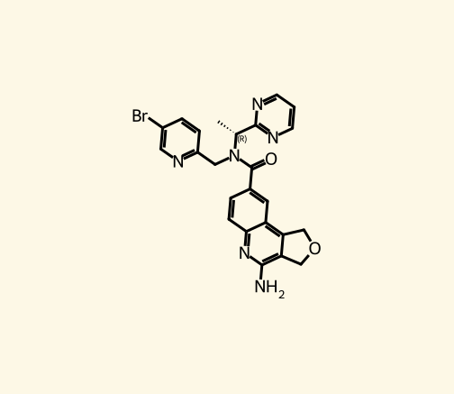 C[C@H](c1ncccn1)N(Cc1ccc(Br)cn1)C(=O)c1ccc2nc(N)c3c(c2c1)COC3